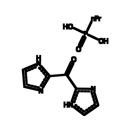 CCCP(=O)(O)O.O=C(c1ncc[nH]1)c1ncc[nH]1